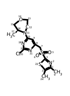 Cc1nc(S(=O)(=O)Cc2cc(N3CCOC[C@@H]3C)nc(Cl)n2)sc1C